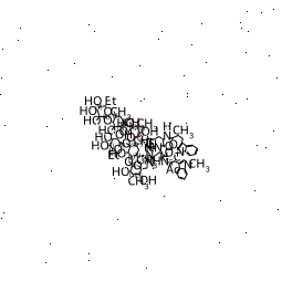 CCC1O[C@H](OC2C(O)[C@@H](OC3OC(Cn4cc(CC(NC(=O)C(C)Cc5cn(C)c6ccccc56)C(=O)NC(C(=O)NC(Cc5cn(C)c6ccccc56)C(C)=O)c5cn(CC6O[C@H](O[C@@H]7C(O)C(O[C@H]8OC(CC)[C@@H](O)C(O)C8O)[C@@H](C)C[C@H]7C)C(O)[C@@H](C)[C@@H]6O)nn5)nn4)[C@@H](O)[C@H](C)[C@@H]3O)[C@H](C)C[C@@H]2C)C(O)C(O)[C@@H]1O